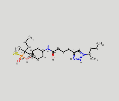 CCCC(C)n1cc(CCCC(=O)NC2CCC(OP(=O)(S)C(C)(C)CCC)CC2)nn1